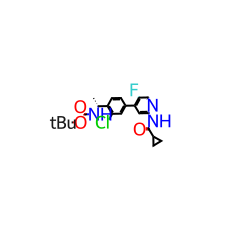 C[C@@H](NC(=O)OC(C)(C)C)c1ccc(-c2cc(NC(=O)C3CC3)ncc2F)cc1Cl